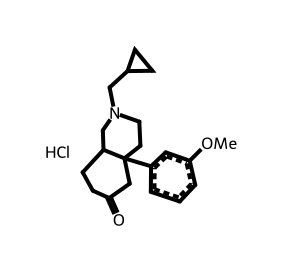 COc1cccc(C23CCN(CC4CC4)CC2CCC(=O)C3)c1.Cl